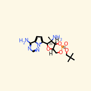 CC(C)(C)CO[P@@]1(=O)OC[C@H]2OC(c3ccc4c(N)ncnn34)[C@](C)(N)[C@@H]2O1